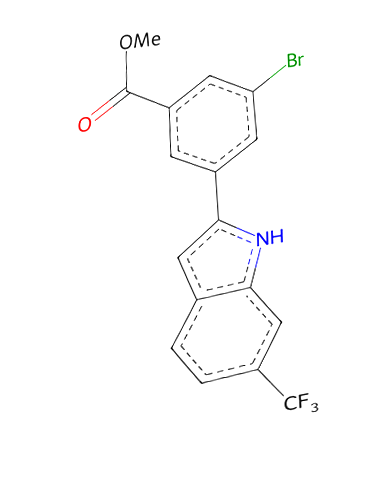 COC(=O)c1cc(Br)cc(-c2cc3ccc(C(F)(F)F)cc3[nH]2)c1